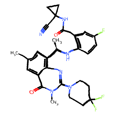 Cc1cc([C@@H](C)Nc2ccc(F)cc2C(=O)NC2(C#N)CC2)c2nc(N3CCC(F)(F)CC3)n(C)c(=O)c2c1